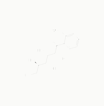 COc1ccccc1C(=O)[C@H](O)[C@@H](O)[C@H](O)[C@H](O)CO